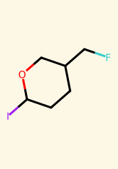 FCC1CCC(I)OC1